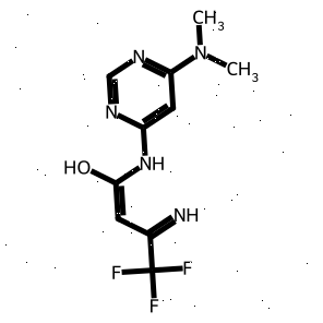 CN(C)c1cc(N/C(O)=C\C(=N)C(F)(F)F)ncn1